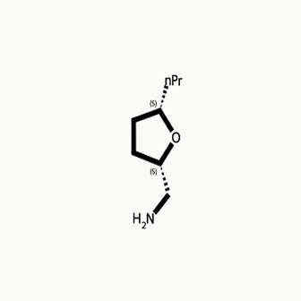 CCC[C@H]1CC[C@@H](CN)O1